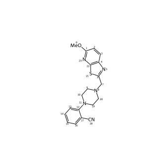 COc1ccc2nc(CN3CCN(c4ccccc4C#N)CC3)sc2n1